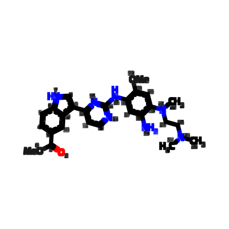 COC(=O)c1ccc2[nH]cc(-c3ccnc(Nc4cc(N)c(N(C)CCN(C)C)cc4OC)n3)c2c1